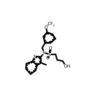 Cc1c(N(Cc2cccc(OC(F)(F)F)c2)S(=O)(=O)CCCO)sc2ccccc12